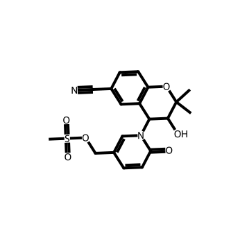 CC1(C)Oc2ccc(C#N)cc2C(n2cc(COS(C)(=O)=O)ccc2=O)C1O